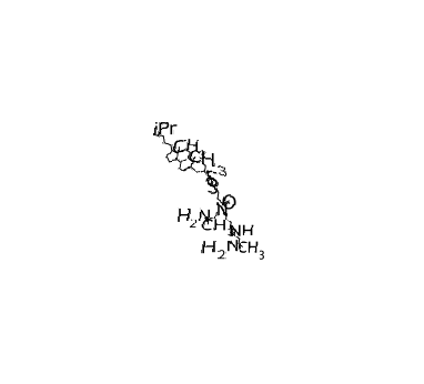 CC(C)CCCCC1CCC2C3CC=C4CC(SSCCC(=O)N(CCCCNCCC(C)N)CCC(C)N)CCC4(C)C3CCC12C